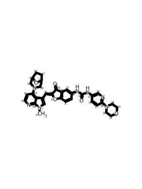 Cn1cc(C=C2Oc3ccc(NC(=O)Nc4ccc(N5CCOCC5)nc4)cc3C2=O)c2c(N3CC4CCC(C3)O4)ccnc21